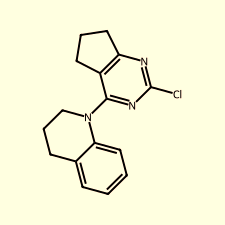 Clc1nc2c(c(N3CCCc4ccccc43)n1)CCC2